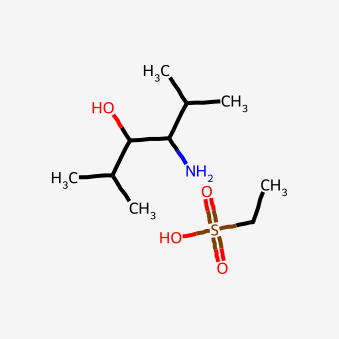 CC(C)C(N)C(O)C(C)C.CCS(=O)(=O)O